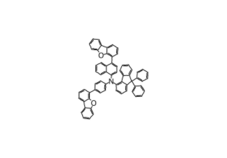 c1ccc(C2(c3ccccc3)c3ccccc3-c3c(N(c4ccc(-c5cccc6c5oc5ccccc56)cc4)c4ccc(-c5cccc6c5oc5ccccc56)c5ccccc45)cccc32)cc1